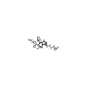 C=CCOC(=O)c1c(C)nc2c(cnn2CCCCOC)c1N